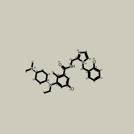 CCN(c1cc(Cl)cc(C(=O)NCc2nccn2Cc2ccccc2Cl)c1C)[C@H]1CC[C@H](N(C)C)CC1